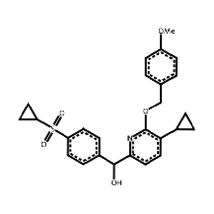 COc1ccc(COc2nc(C(O)c3ccc(S(=O)(=O)C4CC4)cc3)ccc2C2CC2)cc1